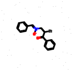 CCC(C[N+]([O-])=Cc1ccccc1)C(=O)c1ccccc1